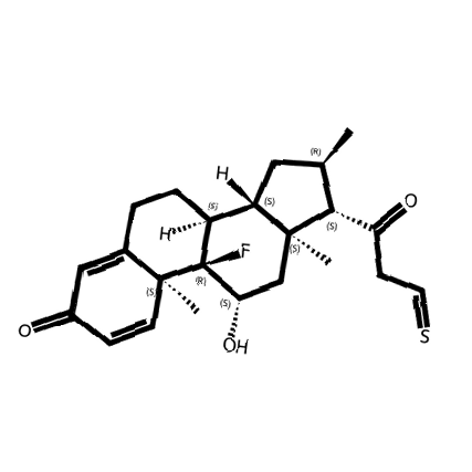 C[C@@H]1C[C@H]2[C@@H]3CCC4=CC(=O)C=C[C@]4(C)[C@@]3(F)[C@@H](O)C[C@]2(C)[C@H]1C(=O)CC=S